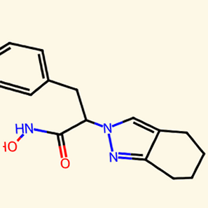 O=C(NO)C(Cc1ccccc1)n1cc2c(n1)CCCC2